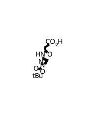 CC(C)(C)OC(=O)n1ccc(NC(=O)CCC(=O)O)n1